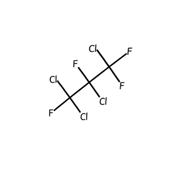 FC(F)(Cl)C(F)(Cl)C(F)(Cl)Cl